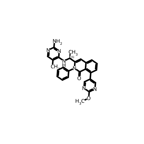 COc1ncc(-c2cccc3cc([C@H](C)Nc4nc(N)ncc4C)n(-c4ccccc4)c(=O)c23)cn1